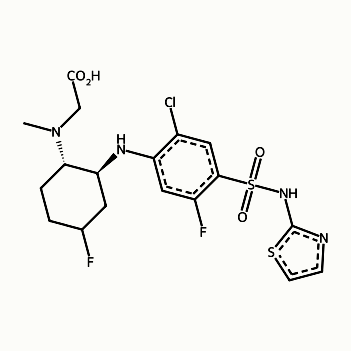 CN(CC(=O)O)[C@H]1CCC(F)C[C@@H]1Nc1cc(F)c(S(=O)(=O)Nc2nccs2)cc1Cl